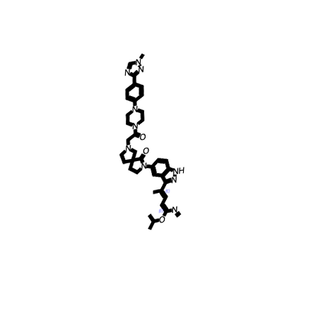 C=N/C(=C\C=C(/C)c1n[nH]c2ccc(N3CCC4(CCN(CC(=O)N5CCN(c6ccc(-c7ncn(C)n7)cc6)CC5)C4)C3=O)cc12)OC(C)C